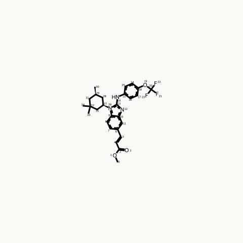 COC(=O)/C=C/c1ccc2c(c1)nc(Nc1ccc(OC(F)(F)F)cc1)n2[C@@H]1C[C@H](C)CC(C)(C)C1